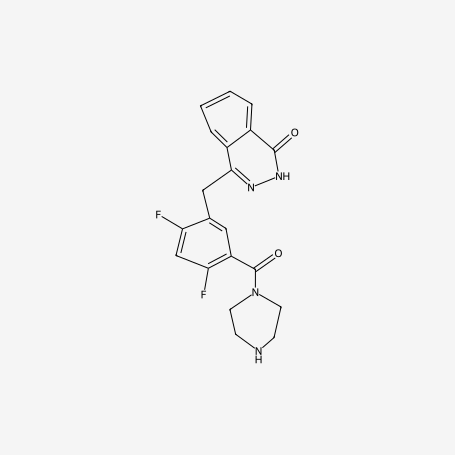 O=C(c1cc(Cc2n[nH]c(=O)c3ccccc23)c(F)cc1F)N1CCNCC1